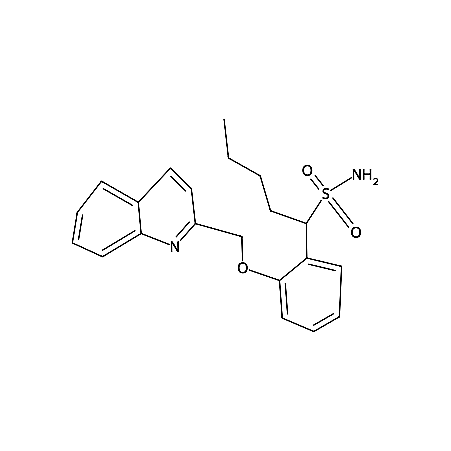 CCCCC(c1ccccc1OCc1ccc2ccccc2n1)S(N)(=O)=O